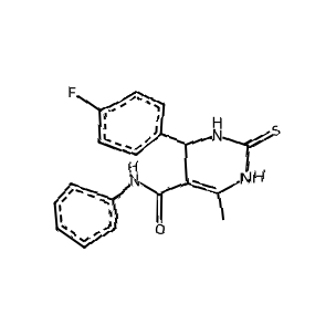 CC1=C(C(=O)Nc2ccccc2)C(c2ccc(F)cc2)NC(=S)N1